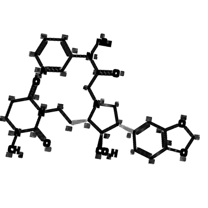 CCCCN(C(=O)CN1C[C@H](c2ccc3c(c2)OCO3)[C@@H](C(=O)O)[C@@H]1CCN1C(=O)CCN(C)C1=O)c1cccnc1